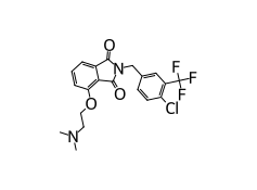 CN(C)CCOc1cccc2c1C(=O)N(Cc1ccc(Cl)c(C(F)(F)F)c1)C2=O